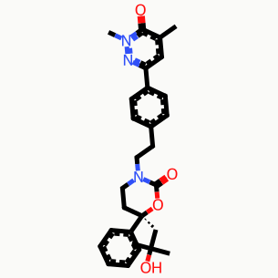 Cc1cc(-c2ccc(CCN3CC[C@](CC(C)(C)O)(c4ccccc4)OC3=O)cc2)nn(C)c1=O